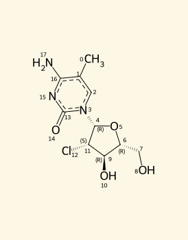 Cc1cn([C@@H]2O[C@H](CO)[C@@H](O)[C@@H]2Cl)c(=O)nc1N